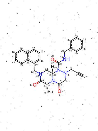 C#CCN1CC(=O)N2[C@@H](C(C)CC)C(=O)N(Cc3cccc4ccccc34)C[C@@H]2N1C(=O)NCc1ccccc1